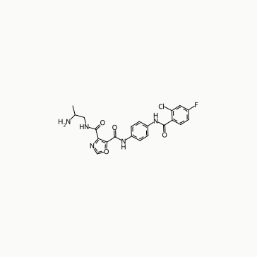 CC(N)CNC(=O)c1ncoc1C(=O)Nc1ccc(NC(=O)c2ccc(F)cc2Cl)cc1